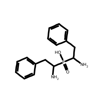 NC(Cc1ccccc1)P(=O)(O)C(N)Cc1ccccc1